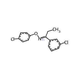 CC/C(=N\Oc1ccc(Cl)cc1)c1cccc(Cl)c1